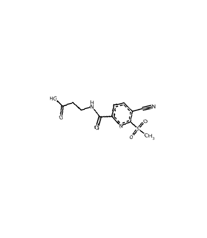 CS(=O)(=O)c1nc(C(=O)NCCC(=O)O)ccc1C#N